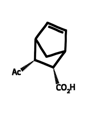 CC(=O)[C@@H]1C2C=CC(C2)[C@@H]1C(=O)O